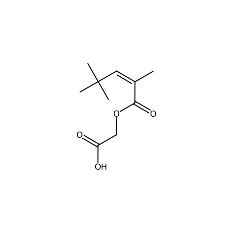 CC(=CC(C)(C)C)C(=O)OCC(=O)O